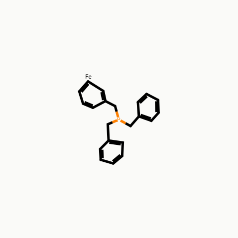 [Fe].c1ccc(CP(Cc2ccccc2)Cc2ccccc2)cc1